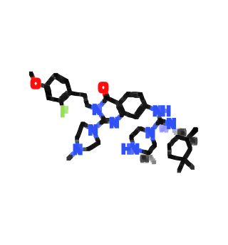 COc1ccc(CCn2c(N3CCN(C)CC3)nc3cc(N/C(=N/[C@H]4CCC(C)(C)C[C@@H]4C)N4CCN[C@@H](C)C4)ccc3c2=O)c(F)c1